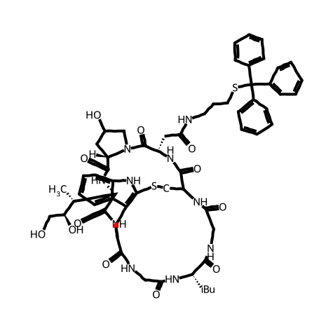 CCC(C)[C@@H]1NC(=O)CNC(=O)C2Cc3c([nH]c4ccccc34)SCC(NC(=O)CNC1=O)C(=O)N[C@@H](CC(=O)NCCCSC(c1ccccc1)(c1ccccc1)c1ccccc1)C(=O)N1CC(O)C[C@H]1C(=O)N[C@@H]([C@@H](C)[C@@H](O)CO)C(=O)N2